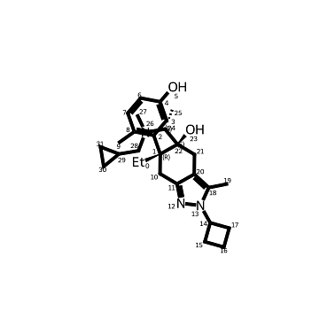 CC[C@]1(c2cc(O)ccc2C)Cc2nn(C3CCC3)c(C)c2C[C@@]1(O)[C@@H](C)N(C)CC1CC1